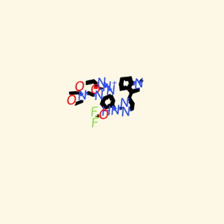 C=CC(=O)N=[N+]=Nc1cc(Nc2nccc(-c3cn(C)c4ccccc34)n2)c(OC(F)F)cc1N(C)CCN1CCOCC1=O